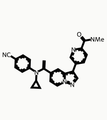 C=C(c1ccn2ncc(-c3ccc(C(=O)NC)nc3)c2c1)N(c1ccc(C#N)cc1)C1CC1